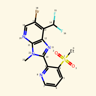 CCS(=O)(=O)c1cccnc1-c1nc2c(C(F)F)c(Br)cnc2n1C